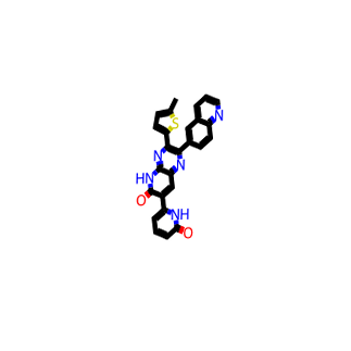 Cc1ccc(-c2nc3[nH]c(=O)c(-c4cccc(=O)[nH]4)cc3nc2-c2ccc3ncccc3c2)s1